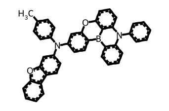 Cc1ccc(N(c2ccc3c(c2)Oc2cccc4c2B3c2ccccc2N4c2ccccc2)c2ccc3c(c2)oc2ccccc23)cc1